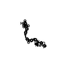 Nc1ncnc2c1c(-c1ccc(Oc3ccccc3)cc1)nn2C1CCCN(C2CCN(C(=O)N3CCC(CCCN4CCN(c5ccc6c(c5)C(=O)N(C5CCC(=O)NC5=O)C6=O)CC4)CC3)CC2)C1